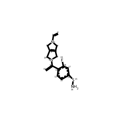 C=CN1CC2=C(C1)CN(C(=C)c1ccc(SN)cc1F)C2